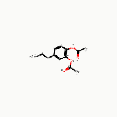 CCCCCCCCCCCCc1ccc(OC(=O)C(C)C)c(OC(=O)C(C)C)c1